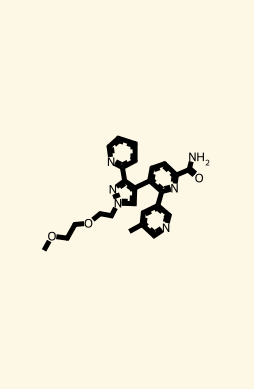 COCCOCCn1cc(-c2ccc(C(N)=O)nc2-c2cncc(C)c2)c(-c2ccccn2)n1